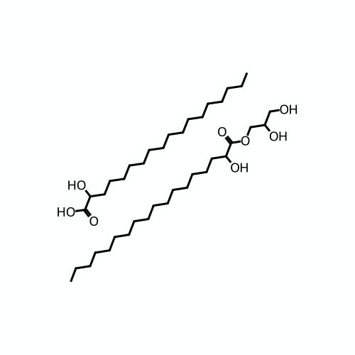 CCCCCCCCCCCCCCCCC(O)C(=O)O.CCCCCCCCCCCCCCCCC(O)C(=O)OCC(O)CO